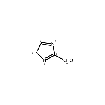 O=Cc1ncsn1